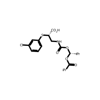 CC(C)C(=O)O[C@H](OC(=O)NC[C@H](Sc1cccc(Cl)c1)C(=O)O)C(C)C